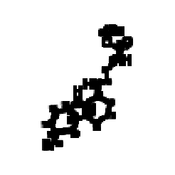 CC(C)(C)OC(=O)NCCNC1CCCc2c1[nH]c1ccc(Br)cc21